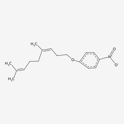 CC(C)=CCCC(C)=CCCOc1ccc([N+](=O)[O-])cc1